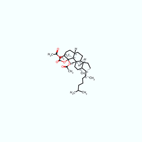 CC(=O)OC1CC[C@@H]2CC[C@H]3[C@@H]4CC[C@H]([C@H](C)CCCC(C)C)[C@@]4(C)CC[C@@H]3[C@@]2(C)C1(OC(C)=O)OC(C)=O